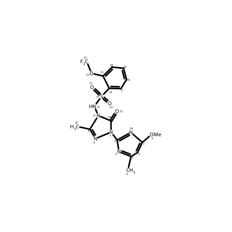 COc1cc(C)nc(-n2nc(C)n(NS(=O)(=O)c3ccccc3OC(F)(F)F)c2=O)n1